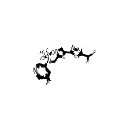 CS(=O)(=O)N(Cc1ncc(-c2nnc(C(F)F)o2)s1)c1cncc(F)c1